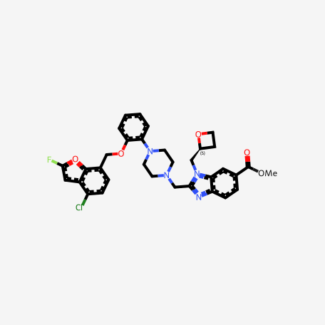 COC(=O)c1ccc2nc(CN3CCN(c4ccccc4OCc4ccc(Cl)c5cc(F)oc45)CC3)n(C[C@@H]3CCO3)c2c1